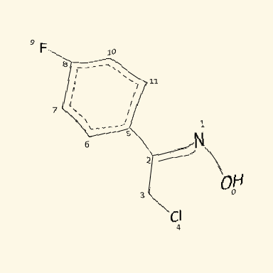 ON=C(CCl)c1ccc(F)cc1